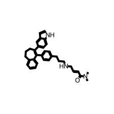 CN(C)C(=O)/C=C/CNCCCc1ccc(C2=C(c3ccc4[nH]ccc4c3)CCCc3ccccc32)cc1